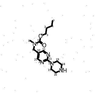 CCCCOC(=O)N(C)Cc1cnc(N2CCNCC2)nc1